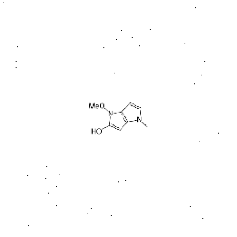 COn1c(O)cc2c1ccn2C